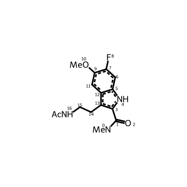 CNC(=O)c1[nH]c2cc(F)c(OC)cc2c1CCNC(C)=O